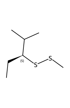 CC[C@H](SSC)C(C)C